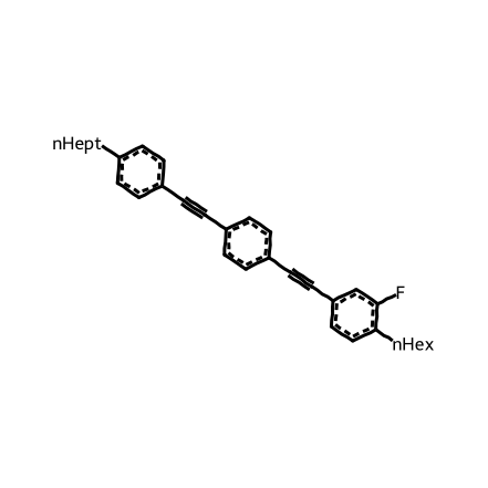 CCCCCCCc1ccc(C#Cc2ccc(C#Cc3ccc(CCCCCC)c(F)c3)cc2)cc1